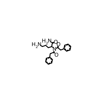 NCCCC(C(N)=O)N(C(=O)Cc1ccccc1)C(=O)Cc1ccccc1